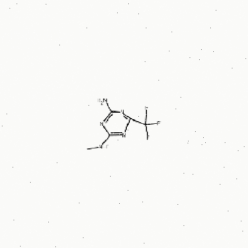 CNc1nc(N)nc(C(F)(F)F)n1